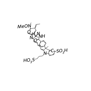 C=C1N=C(/C=C/C=C/C=C2/N(CCCS(=O)(=O)O)c3ccc(S(=O)(=O)O)cc3C2(C)c2ccc(C(=O)NN)cc2)C(C)(C)/C1=C/C(=C\C)C(=O)N(C)OC